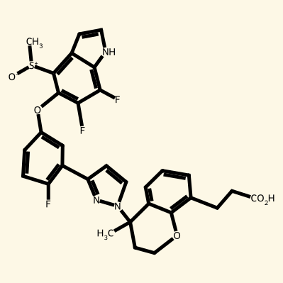 C[S+]([O-])c1c(Oc2ccc(F)c(-c3ccn(C4(C)CCOc5c(CCC(=O)O)cccc54)n3)c2)c(F)c(F)c2[nH]ccc12